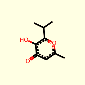 Cc1cc(=O)c(O)c(C(C)C)o1